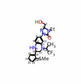 CCn1c(CO)nn(-c2ccc3c(c2)N(C(C)C(F)(F)F)CC(c2ccccc2SC)N3)c1=O